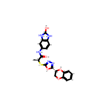 C[C@H](Sc1nnc([C@H]2COc3ccccc3O2)o1)C(=O)Nc1ccc2c(c1)NC(O)N2